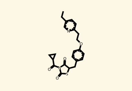 CCc1ccc(CCOc2ccc(CC3SC(=O)N(C(=O)C4CC4)C3=O)cc2)nc1